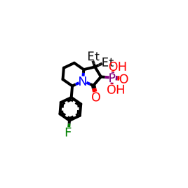 CCC1(CC)C2CCCC(c3ccc(F)cc3)N2C(=O)C1P(=O)(O)O